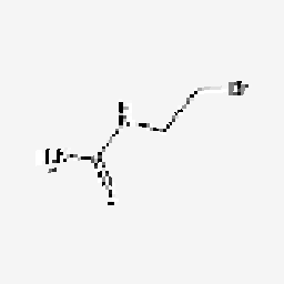 NC(=S)NCCBr